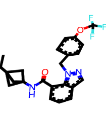 CCC12CC(NC(=O)c3cccc4cnn(Cc5ccc(OC(F)(F)F)cc5)c34)(C1)C2